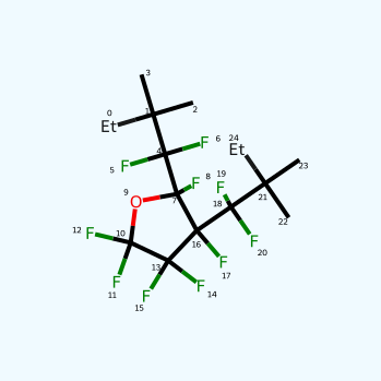 CCC(C)(C)C(F)(F)C1(F)OC(F)(F)C(F)(F)C1(F)C(F)(F)C(C)(C)CC